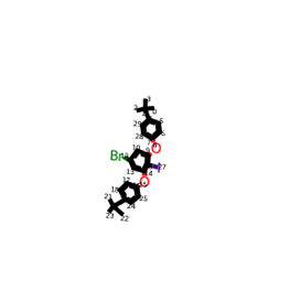 CC(C)(C)c1ccc(Oc2cc(Br)cc(Oc3ccc(C(C)(C)C)cc3)c2I)cc1